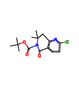 CC(C)(C)OC(=O)N1C(=O)c2ccc(Cl)nc2CC1(C)C